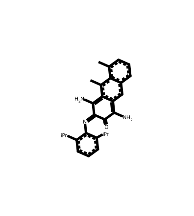 Cc1cccc2cc3c(c(C)c12)=C(N)C(=Nc1c(C(C)C)cccc1C(C)C)C(=O)C=3N